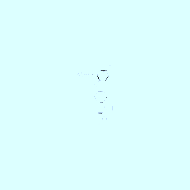 COc1cc(F)ccc1N[C@H]1CC[C@H](NC(=O)OC(C)(C)C)CC1